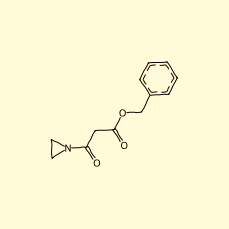 O=C(CC(=O)N1CC1)OCc1ccccc1